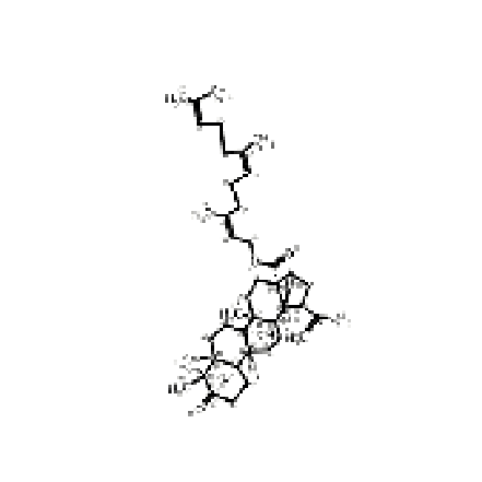 C=C(C)[C@@H]1CC[C@]2(C(=O)OCC=C(C)CCC=C(C)CCC=C(C)C)CC[C@]3(C)[C@H](CC[C@@H]4[C@@]5(C)CCC(=O)C(C)(C)[C@@H]5CC[C@]43C)[C@@H]12